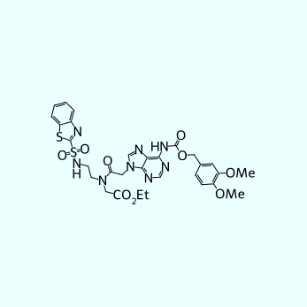 CCOC(=O)CN(CCNS(=O)(=O)c1nc2ccccc2s1)C(=O)Cn1cnc2c(NC(=O)OCc3ccc(OC)c(OC)c3)ncnc21